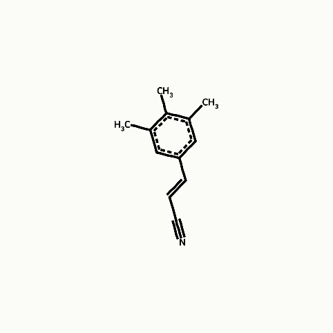 Cc1cc(/C=C/C#N)cc(C)c1C